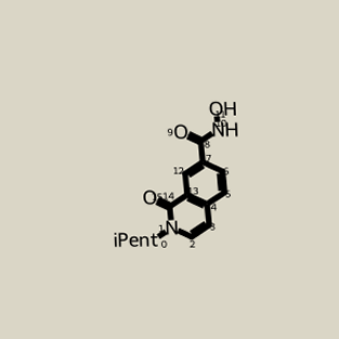 CCCC(C)n1ccc2ccc(C(=O)NO)cc2c1=O